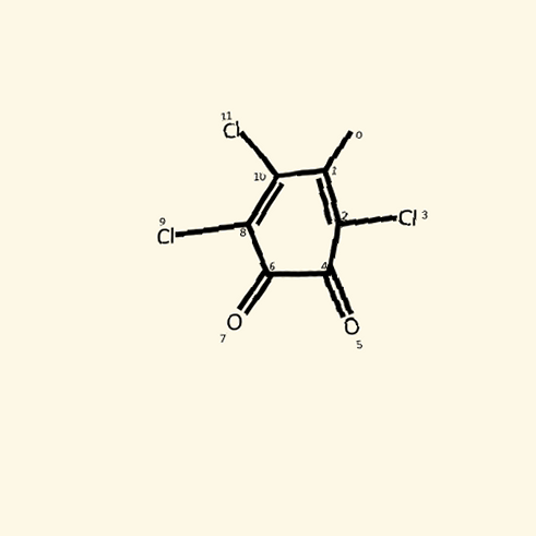 CC1=C(Cl)C(=O)C(=O)C(Cl)=C1Cl